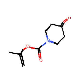 C=C(C)OC(=O)N1CCC(=O)CC1